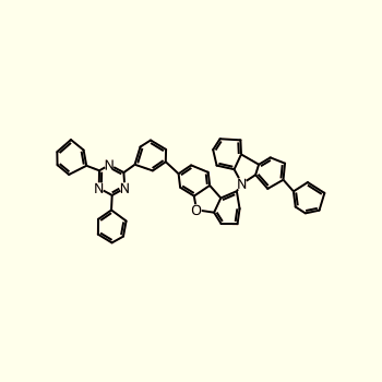 c1ccc(-c2ccc3c4ccccc4n(-c4cccc5oc6cc(-c7cccc(-c8nc(-c9ccccc9)nc(-c9ccccc9)n8)c7)ccc6c45)c3c2)cc1